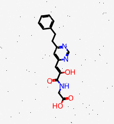 O=C(O)CNC(=O)/C(O)=C/c1cc(CCc2ccccc2)ncn1